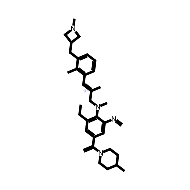 C=Nc1cc(C(=C)N2CCC(C)CC2)cc(CC)c1N(C)C/C(C)=C/c1cccc(CC2CN(C)C2)c1C